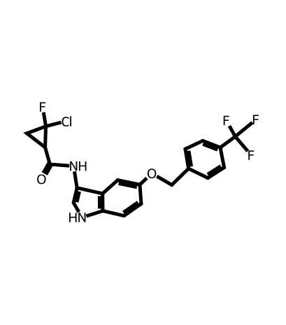 O=C(Nc1c[nH]c2ccc(OCc3ccc(C(F)(F)F)cc3)cc12)C1CC1(F)Cl